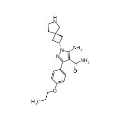 CCCOc1ccc(-c2nn([C@H]3C[C@]4(CCNC4)C3)c(N)c2C(N)=O)cc1